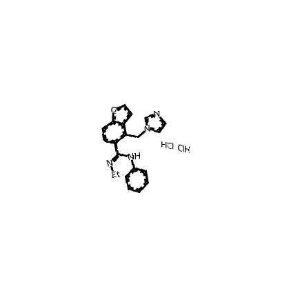 CCN=C(Nc1ccccc1)c1ccc2occc2c1Cn1ccnc1.Cl.Cl